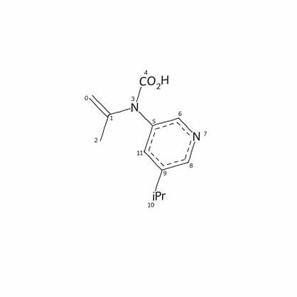 C=C(C)N(C(=O)O)c1cncc(C(C)C)c1